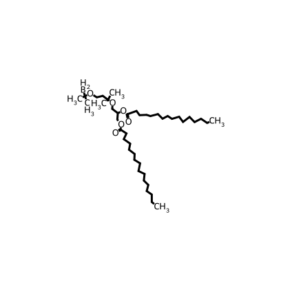 BC(C)(C)OCCC(C)(C)OCC(COC(=O)CCCCCCCCCCCCCCC)OC(=O)CCCCCCCCCCCCCCC